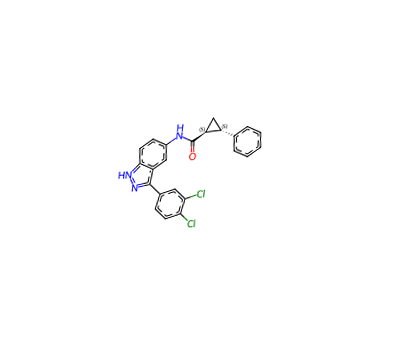 O=C(Nc1ccc2[nH]nc(-c3ccc(Cl)c(Cl)c3)c2c1)[C@H]1C[C@@H]1c1ccccc1